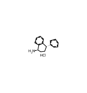 Cl.N[C@@H]1CC[C@@H](c2ccccc2)c2ccccc21